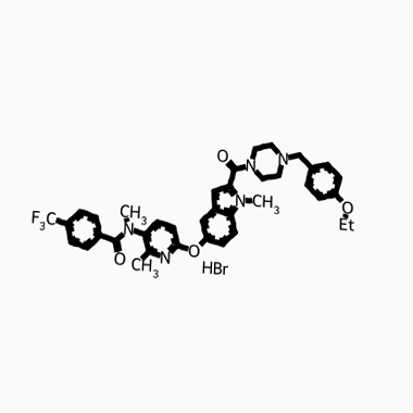 Br.CCOc1ccc(CN2CCN(C(=O)c3cc4cc(Oc5ccc(N(C)C(=O)c6ccc(C(F)(F)F)cc6)c(C)n5)ccc4n3C)CC2)cc1